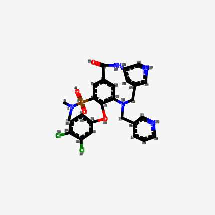 CN(C)S(=O)(=O)c1cc(C(N)=O)cc(N(Cc2cccnc2)Cc2cccnc2)c1Oc1ccc(Cl)c(Cl)c1